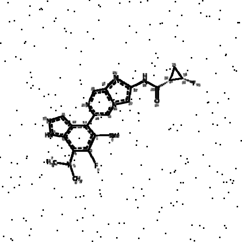 CSc1c(F)c(N(C)C)c2[nH]ncc2c1-c1cn2cc(NC(=O)[C@@H]3C[C@@H]3F)nc2cn1